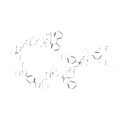 CN(CCN1CCC(OC(=O)Nc2ccccc2-c2ccccc2)CC1)C(=O)CCCCCNc1ccc(N(C)C(=O)CCN(C)C(=O)CO[C@H]2Cc3ccccc3C23CCN(CC[C@@]2(c4ccc(F)cc4)CN(C(=O)c4cc(C(F)(F)F)cc(C(F)(F)F)c4)CO2)CC3)cc1